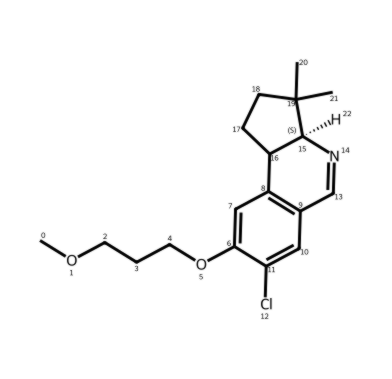 COCCCOc1cc2c(cc1Cl)C=N[C@H]1C2CCC1(C)C